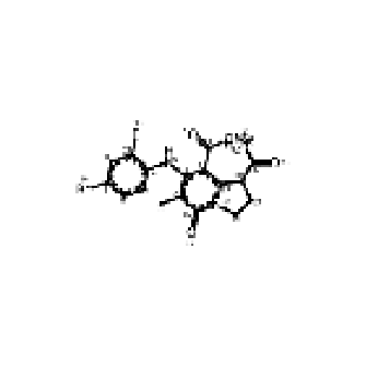 COC(=O)c1c(Nc2ccc(Br)cc2F)c(C)c(=O)n2c1C(C(N)=O)CC2